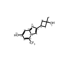 CC1(O)CC(c2cn3c(C(F)(F)F)cc(O)cc3n2)C1